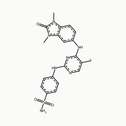 Cn1c(=O)n(C)c2cc(Nc3nc(Nc4ccc(S(N)(=O)=O)cc4)ncc3F)ccc21